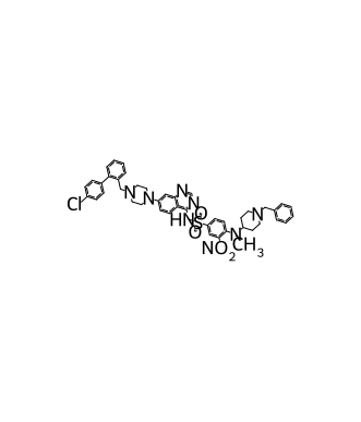 CN(c1ccc(S(=O)(=O)Nc2ncnc3cc(N4CCN(Cc5ccccc5-c5ccc(Cl)cc5)CC4)ccc23)cc1[N+](=O)[O-])C1CCN(Cc2ccccc2)CC1